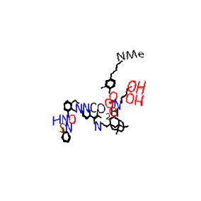 CNCCCCc1ccc(COC(=O)N(CCC(O)CO)COC23CC4(CC/N=C\C(=C(C)C)c5ccc(N6CCc7cccc(C(=O)Nc8nc9ccccc9s8)c7C6)nc5C(=O)O)CC5(C)CC(C)(C2)C5(C4)C3)c(C)c1